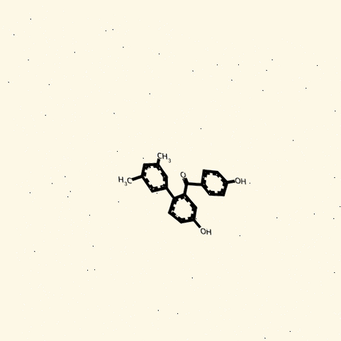 Cc1cc(C)cc(-c2ccc(O)cc2C(=O)c2ccc(O)cc2)c1